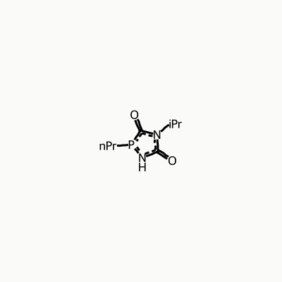 CCCp1[nH]c(=O)n(C(C)C)c1=O